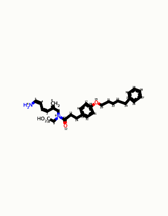 C=C(/C=C\C=C/N)CN(CC(=O)O)C(=O)CCc1ccc(OCCCCCc2ccccc2)cc1